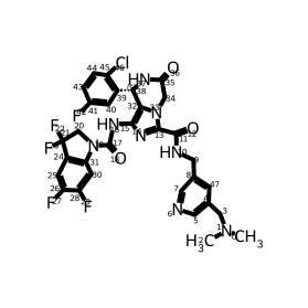 CN(C)Cc1cncc(CNC(=O)c2nc(NC(=O)N3CC(F)(F)c4cc(F)c(F)cc43)c3n2CC(=O)N[C@H]3c2cc(F)ccc2Cl)c1